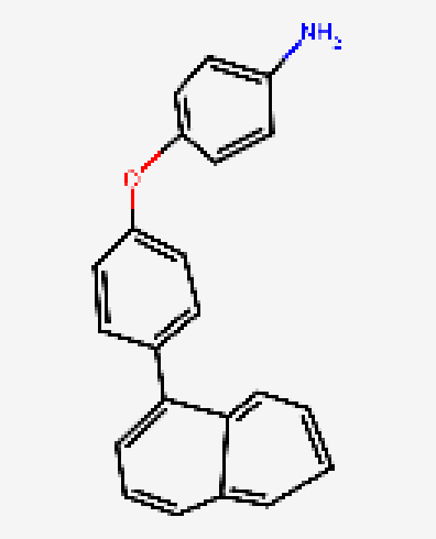 Nc1ccc(Oc2ccc(-c3cccc4ccccc34)cc2)cc1